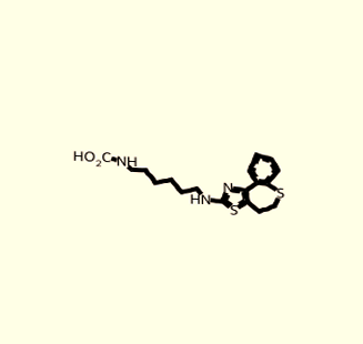 O=C(O)NCCCCCCNc1nc2c(s1)CCSc1ccccc1-2